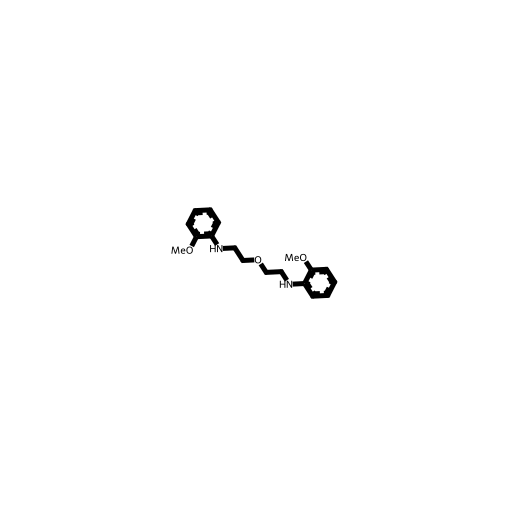 COc1ccccc1NCCOCCNc1ccccc1OC